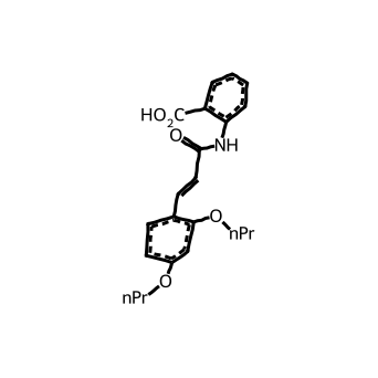 CCCOc1ccc(C=CC(=O)Nc2ccccc2C(=O)O)c(OCCC)c1